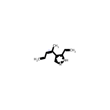 C=C/C=C(/C)c1cn[nH]c1C=C